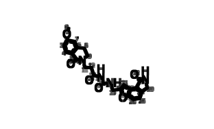 COc1ccc2c(c1)CCN(CCC(=O)NC(=O)NCc1cc3c4c(ccc3o1)CNC4=O)C2=O